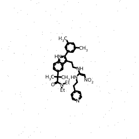 CCN(CC)C(=O)C(C)(C)c1ccc2[nH]c(-c3cc(C)cc(C)c3)c(CCNC(=C[N+](=O)[O-])NCCc3ccncc3)c2c1